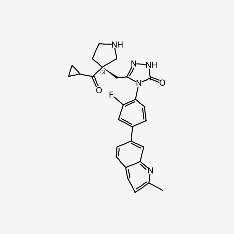 Cc1ccc2ccc(-c3ccc(-n4c(C[C@@]5(C(=O)C6CC6)CCNC5)n[nH]c4=O)c(F)c3)cc2n1